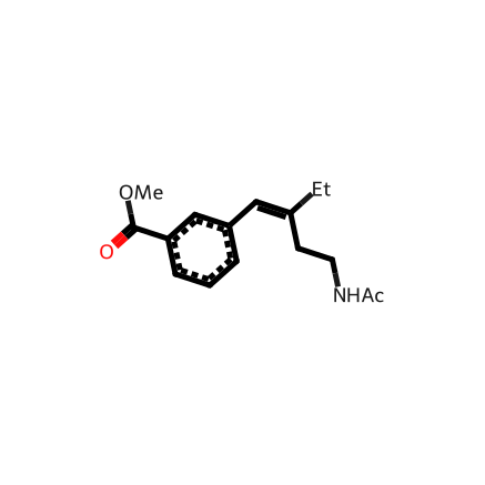 CCC(=Cc1cccc(C(=O)OC)c1)CCNC(C)=O